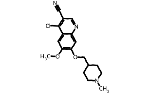 COc1cc2c(Cl)c(C#N)cnc2cc1OCC1CCN(C)CC1